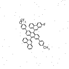 Cc1ccc(-c2ccc3c(-c4cc5cc(F)ccc5c5ccccc45)c4cc(-c5ccc(OC(F)(F)F)cc5)ccc4c(-c4cc5ccccc5c5ccccc45)c3c2)cc1